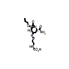 C=CCON1C(=O)N2C[C@H]1/C(=N/OCCNC(=O)O)C[C@H]2C(N)=O